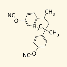 CC(CC(C)(C)c1ccc(OC#N)cc1)c1ccc(OC#N)cc1